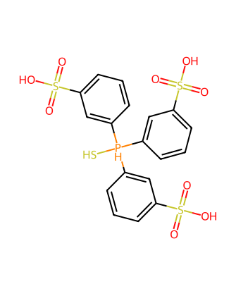 O=S(=O)(O)c1cccc([PH](S)(c2cccc(S(=O)(=O)O)c2)c2cccc(S(=O)(=O)O)c2)c1